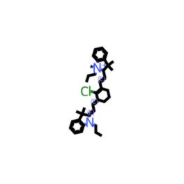 CCCN1/C(=C/C=C2\CCCC(/C=C/C3C(C)(C)c4ccccc4[N+]3(C)CCC)=C2Cl)C(C)(C)c2ccccc21